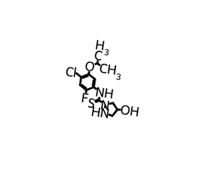 CC(C)Oc1cc(NC(=S)N2CC(O)CN2)c(F)cc1Cl